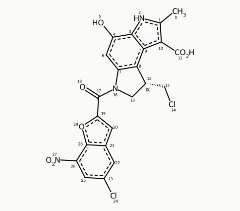 Cc1[nH]c2c(O)cc3c(c2c1C(=O)O)[C@H](CCl)CN3C(=O)c1cc2cc(Cl)cc([N+](=O)[O-])c2o1